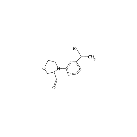 CC(Br)c1cccc(N2CCOCC2C=O)c1